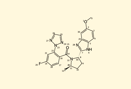 COc1ccc2[nH]c([C@@H]3CC[C@@H](I)N3C(=O)c3ccc(F)cc3-n3nccn3)nc2c1